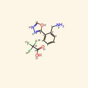 NCc1ccccc1-c1nnco1.O=C(O)C(F)(F)F